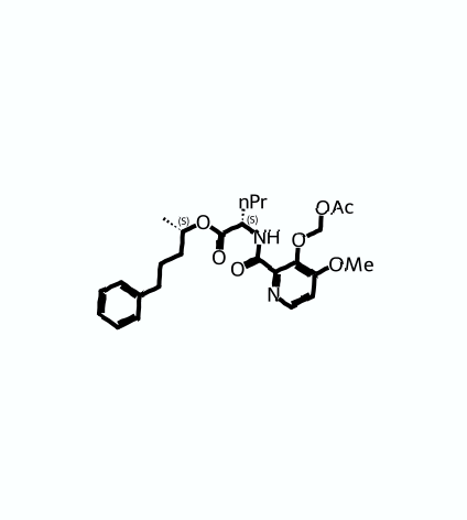 CCC[C@H](NC(=O)c1nccc(OC)c1OCOC(C)=O)C(=O)O[C@@H](C)CCCc1ccccc1